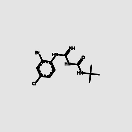 CC(C)(C)NC(=O)NC(=N)Nc1ccc(Cl)cc1Br